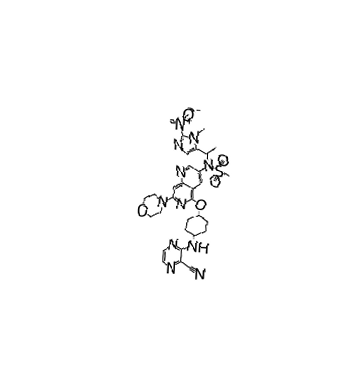 C=[N+]([O-])c1ncc(C(C)N(c2cnc3cc(N4CCOCC4)nc(O[C@H]4CC[C@@H](Nc5nccnc5C#N)CC4)c3c2)S(C)(=O)=O)n1C